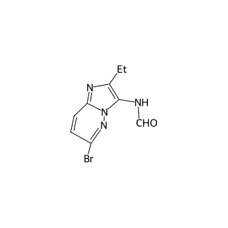 CCc1nc2ccc(Br)nn2c1NC=O